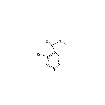 CN(C)C(=O)c1ccncc1Br